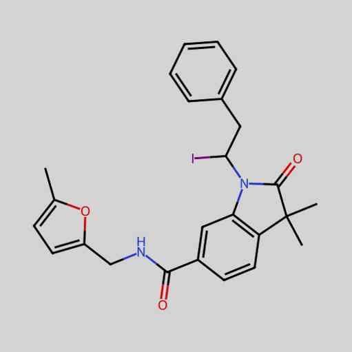 Cc1ccc(CNC(=O)c2ccc3c(c2)N(C(I)Cc2ccccc2)C(=O)C3(C)C)o1